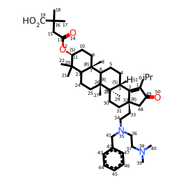 CC(C)C1=C2[C@H]3CCC4[C@@]5(C)CC[C@H](OC(=O)CC(C)(C)C(=O)O)C(C)(C)C5CC[C@@]4(C)[C@]3(C)CC[C@@]2(CCN(CCN(C)C)Cc2ccccc2)CC1=O